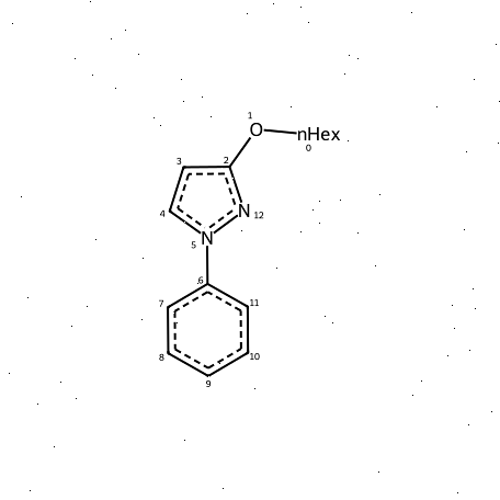 CCCCCCOc1ccn(-c2ccccc2)n1